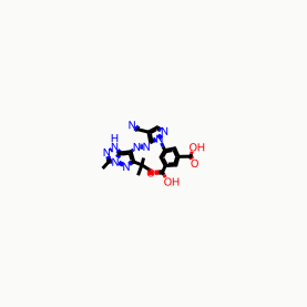 Cc1n[nH]c2c(/N=N/c3c(C#N)cnn3-c3cc(C(=O)O)cc(C(=O)O)c3)c(C(C)(C)C)nn12